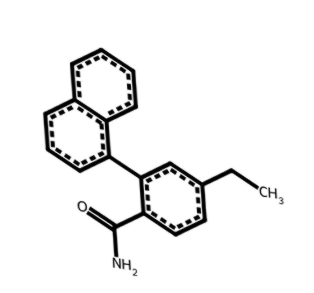 CCc1ccc(C(N)=O)c(-c2cccc3ccccc23)c1